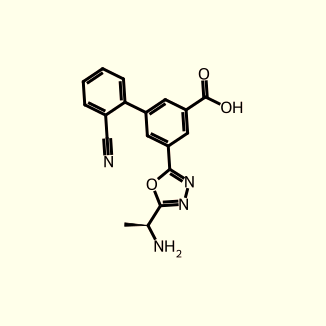 C[C@H](N)c1nnc(-c2cc(C(=O)O)cc(-c3ccccc3C#N)c2)o1